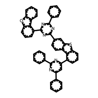 c1ccc(-c2cc(-c3cccc4sc5cc(-c6nc(-c7ccccc7)nc(-c7cccc8oc9ccccc9c78)n6)ccc5c34)nc(-c3ccccc3)n2)cc1